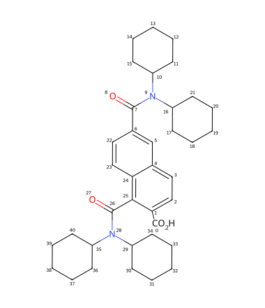 O=C(O)c1ccc2cc(C(=O)N(C3CCCCC3)C3CCCCC3)ccc2c1C(=O)N(C1CCCCC1)C1CCCCC1